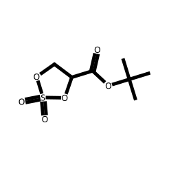 CC(C)(C)OC(=O)C1COS(=O)(=O)O1